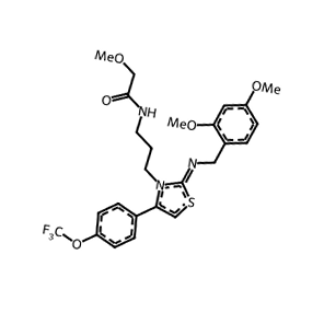 COCC(=O)NCCCn1c(-c2ccc(OC(F)(F)F)cc2)cs/c1=N\Cc1ccc(OC)cc1OC